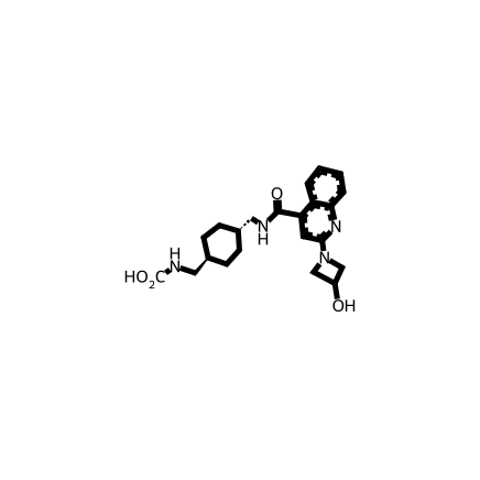 O=C(O)NC[C@H]1CC[C@H](CNC(=O)c2cc(N3CC(O)C3)nc3ccccc23)CC1